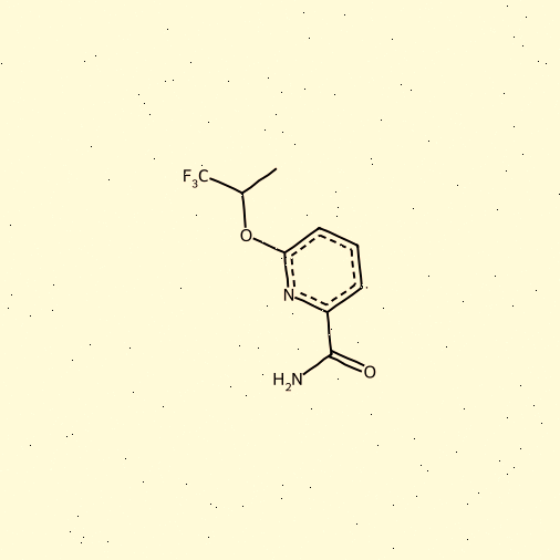 CC(Oc1cc[c]c(C(N)=O)n1)C(F)(F)F